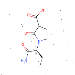 CC[C@@H](C(N)=O)N1CCC(C(=O)O)C1=O